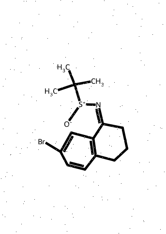 CC(C)(C)[S+]([O-])/N=C1/CCCc2ccc(Br)cc21